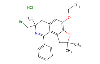 CCOc1cc2c(c3c1OC(C)(C)C3)C(c1ccccc1)=NC(C)(CBr)C2.Cl